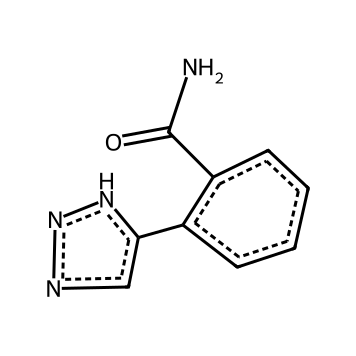 NC(=O)c1ccccc1-c1cnn[nH]1